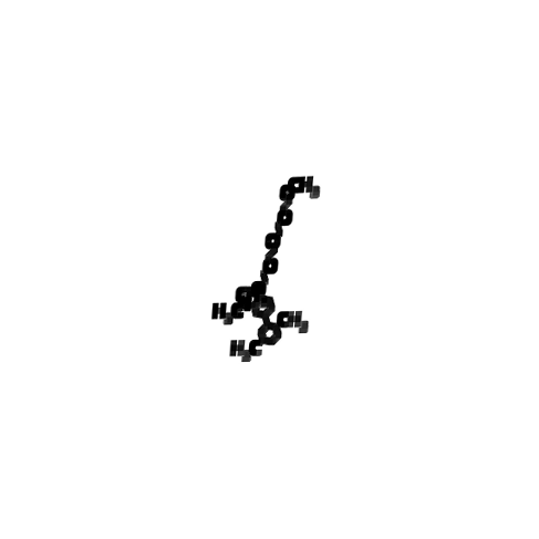 COCCOCCOCCOCCOc1ccc(-c2cc(C)ccc2C)cc1N(C)C